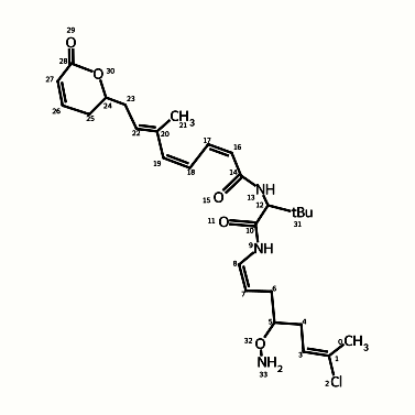 C/C(Cl)=C\CC(C/C=C\NC(=O)C(NC(=O)\C=C/C=C\C(C)=C\CC1CC=CC(=O)O1)C(C)(C)C)ON